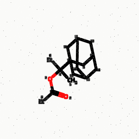 CCC(=O)OC(C)(CC)C12CC3CC(CC(C3)C1)C2